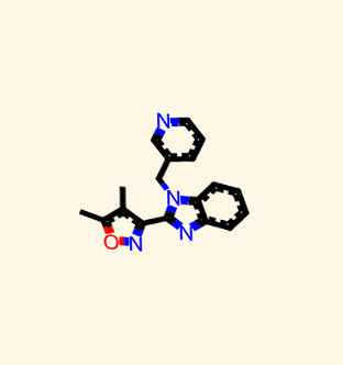 Cc1onc(-c2nc3ccccc3n2Cc2cccnc2)c1C